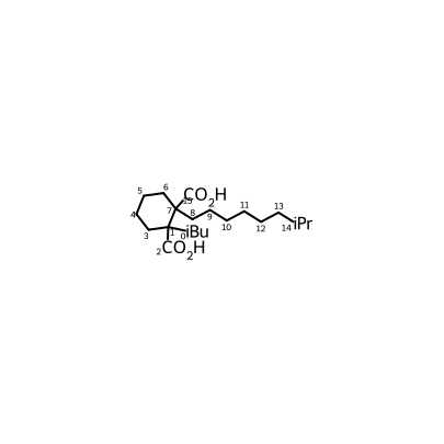 CCC(C)C1(C(=O)O)CCCCC1(CCCCCCC(C)C)C(=O)O